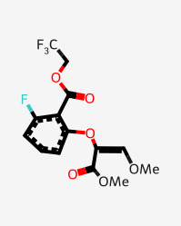 COC=C(Oc1cccc(F)c1C(=O)OCC(F)(F)F)C(=O)OC